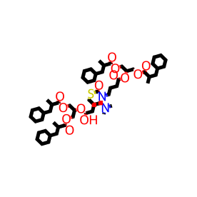 CC(CC1CCCCC1)C(=O)OCC(COC(=O)C(C)CC1CCCCC1)OC(=O)CCCN(CCCC(O)OC(COC(=O)C(C)CC1CCCCC1)COC(=O)C(C)CC1CCCCC1)C(=O)SCCCN(C)C